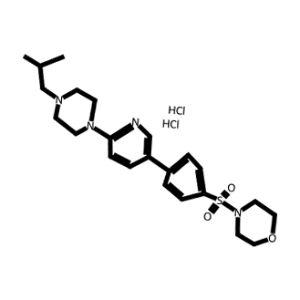 CC(C)CN1CCN(c2ccc(-c3ccc(S(=O)(=O)N4CCOCC4)cc3)cn2)CC1.Cl.Cl